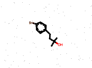 CC(C)(O)CCc1ccc(Br)cc1